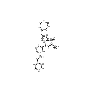 Cl.Cn1cc(-c2cccc(NCc3ccccn3)c2)c2oc(CN3CCCNCC3)cc2c1=O